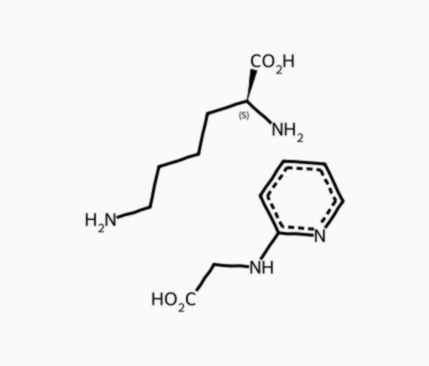 NCCCC[C@H](N)C(=O)O.O=C(O)CNc1ccccn1